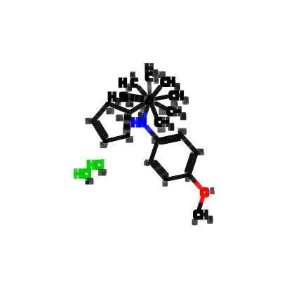 COc1ccc([NH][Zr]([CH3])([CH3])([CH3])([CH3])([CH3])([CH3])(=[SiH2])[C]2=CC=CC2)cc1.Cl.Cl